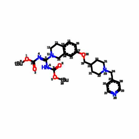 CC(C)(C)OC(=O)/N=C(\NC(=O)OC(C)(C)C)N1CCc2ccc(OCC3CCN(Cc4ccncc4)CC3)cc2C1